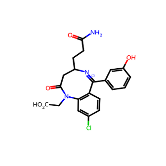 NC(=O)CCC1CC(=O)N(CC(=O)O)c2cc(Cl)ccc2/C(c2cccc(O)c2)=N\1